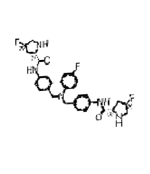 O=C(Nc1ccc(CN(Cc2ccc(NC(=O)[C@@H]3C[C@@H](F)CN3)cc2)c2ccc(F)cc2)cc1)[C@@H]1C[C@@H](F)CN1